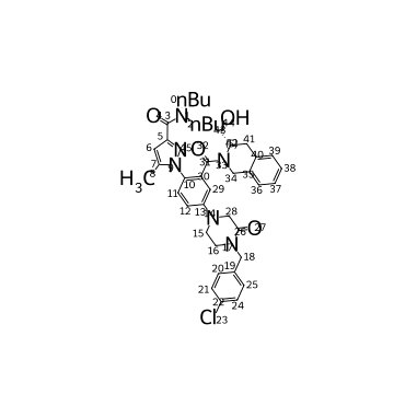 CCCCN(CCCC)C(=O)c1cc(C)n(-c2ccc(N3CCN(Cc4ccc(Cl)cc4)C(=O)C3)cc2C(=O)N2Cc3ccccc3C[C@H]2CO)n1